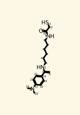 C=C(NCCCCCCNC(=O)CS)c1ccc(N(C)C)cc1